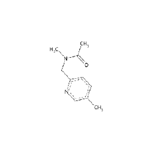 CC(=O)N(C)Cc1ccc(C)cn1